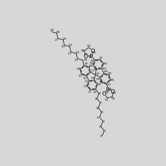 CCCCCCCCCCc1ccc2c(c1)C1(c3cc(CCCCCCCCCC)ccc3-2)c2cc(B3OCCO3)ccc2-c2ccc(B3OCCO3)cc21